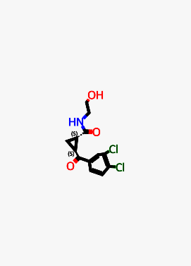 O=C(NCCO)[C@H]1C[C@@H]1C(=O)c1ccc(Cl)c(Cl)c1